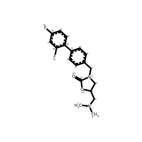 CN(C)CC1CN(Cc2ccc(-c3ccc(F)cc3F)cc2)C(=O)O1